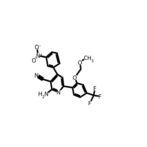 COCOc1cc(C(F)(F)F)ccc1-c1cc(-c2cccc([N+](=O)[O-])c2)c(C#N)c(N)n1